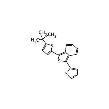 CC(C)(C)c1ccc(-c2sc(-c3cccs3)c3ccccc23)s1